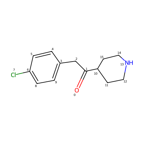 O=C(Cc1ccc(Cl)cc1)C1CCNCC1